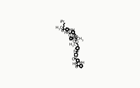 CC(C)CCCC(C)C(=O)c1ccc2c(c1)NC(=O)c1cc(CP(=O)(NC(C)C(=O)OC(C)Cc3ccc(C(F)(F)C4CCN(C(=O)c5ccc6c(c5)NC(=O)c5ccccc5N6)CC4)cc3)Oc3ccccc3)ccc1N2